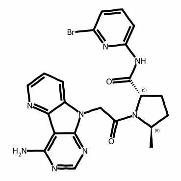 C[C@@H]1CC[C@@H](C(=O)Nc2cccc(Br)n2)N1C(=O)Cn1c2cccnc2c2c(N)ncnc21